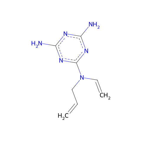 C=CCN(C=C)c1nc(N)nc(N)n1